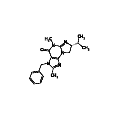 Cc1nc2c(n1Cc1ccccc1)C(=O)N(C)C1=N[C@H](C(C)C)CN12